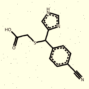 N#Cc1ccc(C(SCC(=O)O)c2c[nH]cn2)cc1